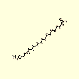 CCCOCCCCCCCCCCCCCCC1CC1